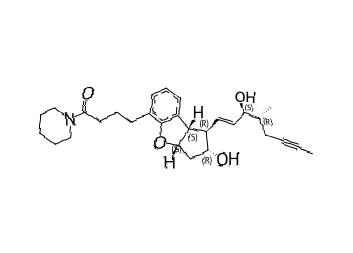 CC#CC[C@@H](C)[C@H](O)C=C[C@@H]1[C@H]2c3cccc(CCCC(=O)N4CCCCC4)c3O[C@H]2C[C@H]1O